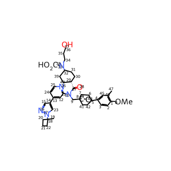 COc1ccc(C23CCC(CN(c4cc(-c5cnn(C6(C)CCC6)c5)ccn4)C(=O)[C@H]4CC[C@H](N(CCCO)C(=O)O)CC4)(CC2)CC3)cc1C